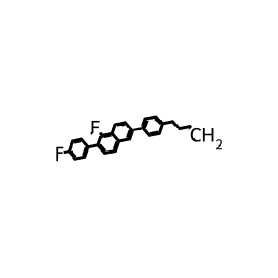 C=CCCc1ccc(-c2ccc3c(F)c(-c4ccc(F)cc4)ccc3c2)cc1